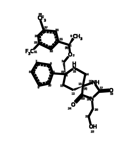 C[C@@H](OC[C@@]1(c2ccccc2)CC[C@]2(CN1)NC(=O)N(CCO)C2=O)c1cc(C(F)(F)F)cc(C(F)(F)F)c1